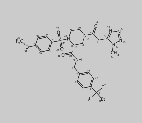 CCC(F)(F)c1ccc(CNC(=O)[C@H]2CN(C(=O)Cc3nnnn3C)CCN2S(=O)(=O)c2ccc(OC(F)(F)F)cc2)cc1